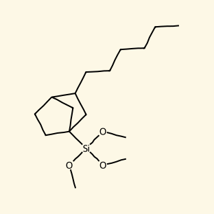 CCCCCCC1CC2([Si](OC)(OC)OC)CCC1C2